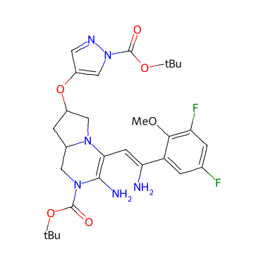 COc1c(F)cc(F)cc1/C(N)=C/C1=C(N)N(C(=O)OC(C)(C)C)CC2CC(Oc3cnn(C(=O)OC(C)(C)C)c3)CN12